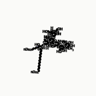 CCCCCCCCCCCCC/C=C/[C@@H](O)[C@H](CO[C@@H]1OC(CO)[C@@H](O[C@@H]2OC(CO)[C@H](O[C@@H]3OC(CO)[C@H](O)[C@H](O[C@@H]4OC(CO)[C@H](O)[C@H](O)C4O[C@H]4OC(C)[C@@H](O)C(O)[C@@H]4O)C3NC(C)=O)[C@H](O[C@]3(C(=O)O)CC(O)[C@@H](NC(=O)CO)C([C@H](O)[C@H](O)CO)O3)C2O)[C@H](O)C1O)NC(=O)CCCCCCCCCCCCCCCCCCCCCCCCC